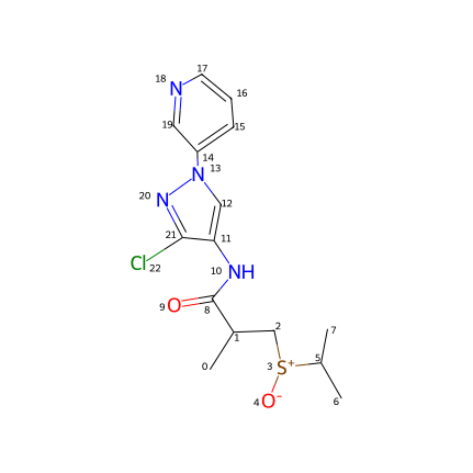 CC(C[S+]([O-])C(C)C)C(=O)Nc1cn(-c2cccnc2)nc1Cl